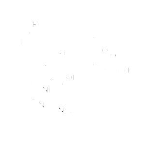 CC(C)C1(C)N=C(c2nc3ccccc3cc2C(=O)O)NC1=O.C[C@H](OC(=O)c1cc(Oc2ccc(C(F)(F)F)cc2Cl)ccc1Cl)C(=O)O